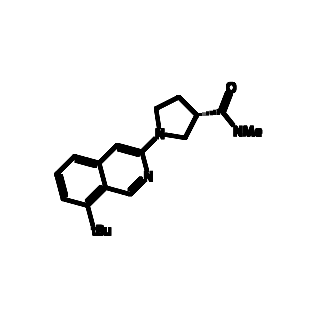 CNC(=O)[C@H]1CCN(c2cc3cccc(C(C)(C)C)c3cn2)C1